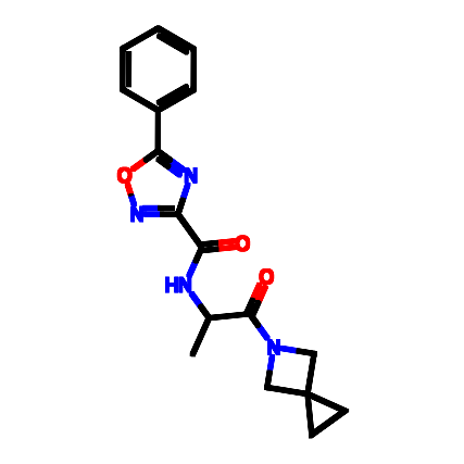 CC(NC(=O)c1noc(-c2ccccc2)n1)C(=O)N1CC2(CC2)C1